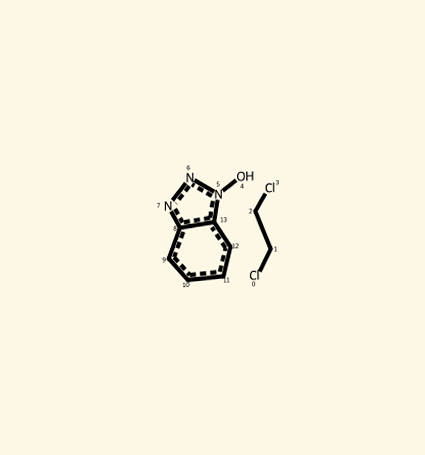 ClCCCl.On1nnc2ccccc21